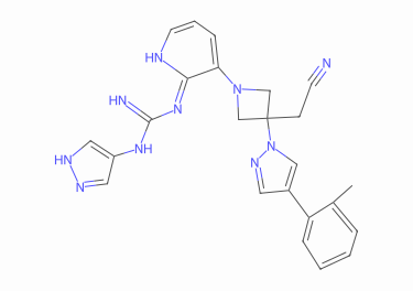 Cc1ccccc1-c1cnn(C2(CC#N)CN(c3ccc[nH]/c3=N\C(=N)Nc3cn[nH]c3)C2)c1